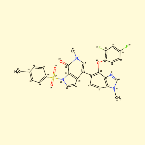 CCn1cc(-c2ccc3c(ncn3C)c2Oc2ccc(F)cc2F)c2ccn(S(=O)(=O)c3ccc(C)cc3)c2c1=O